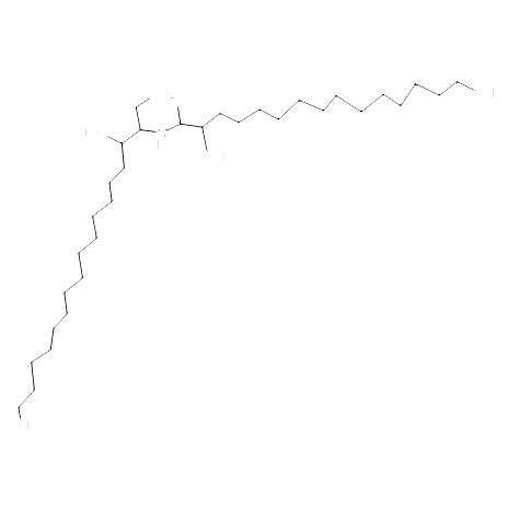 CCCCCCCCCCCCCCCC(O)C(CO)NC(O)C(O)CCCCCCCCCCCCCC